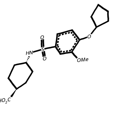 COc1cc(S(=O)(=O)N[C@H]2CC[C@H](C(=O)O)CC2)ccc1OC1CCCC1